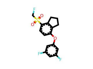 O=S(=O)(CF)c1ccc(Oc2cc(F)cc(F)c2)c2c1CCC2